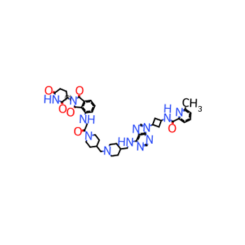 Cc1cccc(C(=O)NC2CC(n3cnc4c(NCC5CCN(CC6CCN(C(=O)CNc7cccc8c7C(=O)N([C@@H]7CCC(=O)NC7=O)C8=O)CC6)CC5)ncnc43)C2)n1